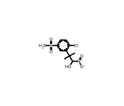 CC(C)(c1cc(S(N)(=O)=O)ccc1Cl)C(O)[N+](=O)[O-]